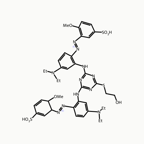 CCN(CC)c1ccc(/N=N/c2cc(S(=O)(=O)O)ccc2OC)c(Nc2nc(Nc3cc(N(CC)CC)ccc3/N=N/C3C=C(S(=O)(=O)O)C=CC3OC)nc(SCCO)n2)c1